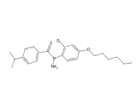 CCCCCCOc1ccc(N(N)C(=S)c2ccc(C(C)C)cc2)c(Cl)c1